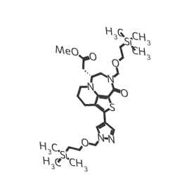 COC(=O)C[C@@H]1CN(COCC[Si](C)(C)C)C(=O)c2sc(-c3cnn(COCC[Si](C)(C)C)c3)c3c2N1CCC3